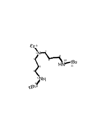 CCN(CCCNC(C)(C)C)CCCNC(C)(C)C